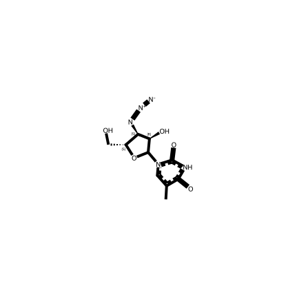 Cc1cn(C2O[C@H](CO)[C@@H](N=[N+]=[N-])[C@H]2O)c(=O)[nH]c1=O